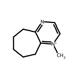 C[n+]1ccnc2c1CCCCC2